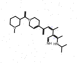 C=C(/C=C(C)\C(C=N)=C(/C)NC(C)C)C1=CCN(C(=C)C2CCCN(C)C2)CC1